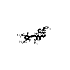 C=CC(=O)N1CCC(n2nc(C#Cc3c(F)c(OC)cc(OC)c3F)c3c(N)ncc(-c4ccncn4)c32)C1